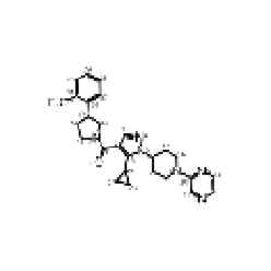 O=C(c1cnn(C2CCN(c3cnccn3)CC2)c1C1CC1)N1CC[C@@H](c2ccccc2C(F)(F)F)C1